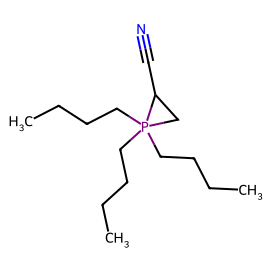 CCCCP1(CCCC)(CCCC)CC1C#N